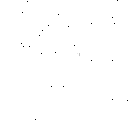 Cc1cc(Cl)c2c(=O)oc(=O)[nH]c2c1